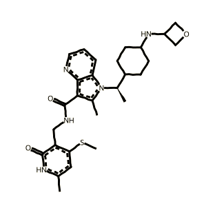 CSc1cc(C)[nH]c(=O)c1CNC(=O)c1c(C)n([C@H](C)C2CCC(NC3COC3)CC2)c2cccnc12